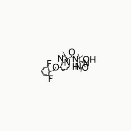 Cc1nc(C(C)(CO)NC(=O)c2c(C)nc3c(OCc4c(F)cccc4F)cccn23)no1